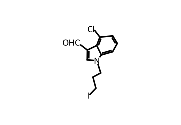 O=Cc1cn(CCCI)c2cccc(Cl)c12